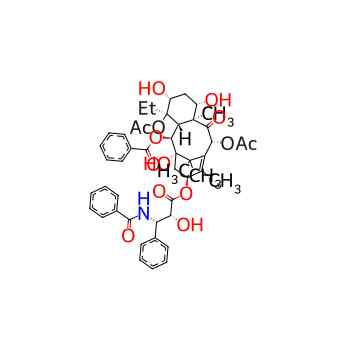 CC[C@]1(OC(C)=O)[C@H](O)C[C@H](O)[C@@]2(C)C(=O)[C@H](OC(C)=O)C3=C(C)[C@@H](OC(=O)[C@H](O)[C@@H](NC(=O)c4ccccc4)c4ccccc4)C[C@@](O)([C@@H](OC(=O)c4ccccc4)[C@H]12)C3(C)C